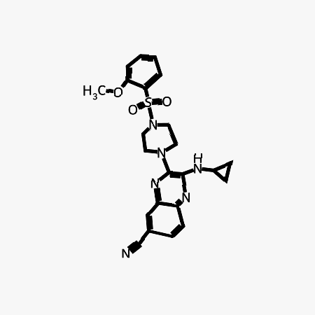 COc1ccccc1S(=O)(=O)N1CCN(c2nc3cc(C#N)ccc3nc2NC2CC2)CC1